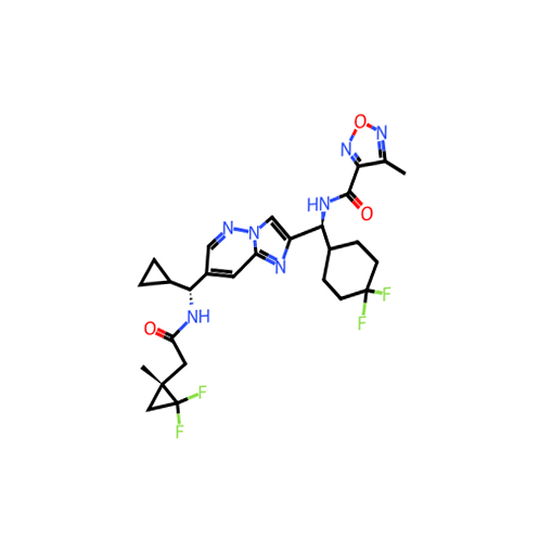 Cc1nonc1C(=O)N[C@H](c1cn2ncc([C@H](NC(=O)C[C@@]3(C)CC3(F)F)C3CC3)cc2n1)C1CCC(F)(F)CC1